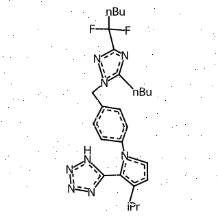 CCCCc1nc(C(F)(F)CCCC)nn1Cc1ccc(-n2ccc(C(C)C)c2-c2nnn[nH]2)cc1